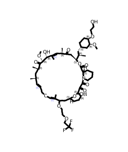 CO[C@@H]1C[C@H](C[C@@H](C)[C@@H]2CC(=O)[C@H](C)/C=C(\C)[C@@H](O)[C@@H](OC)C(=O)[C@H](C)C[C@H](C)/C=C/CC/C=C(\C)C(OCCOCC(F)(F)F)C[C@@H]3CC[C@@H](C)[C@@](O)(O3)C(=O)C(=O)N3CCCC[C@H]3C(=O)O2)CC[C@H]1OCCO